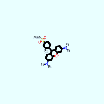 CCN(CC)c1ccc2c(-c3ccc(S(=O)(=O)NC)cc3S(=O)(=O)O)c3ccc(N(CC)CC)cc3[o+]c2c1